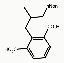 CCCCCCCCCCC(C)Cc1c(C(=O)O)cccc1C(=O)O